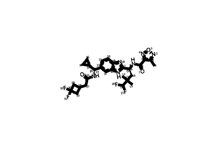 Cc1nonc1C(=O)N[C@@H](CC(C)(C)C(F)F)c1nc2ccc([C@H](NC(=O)CC3CC(F)(F)C3)C3CC3)cc2[nH]1